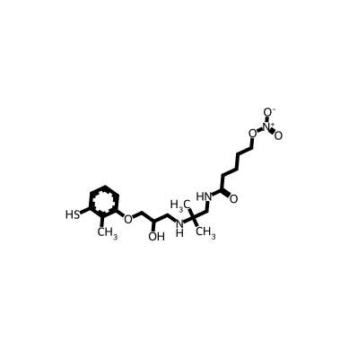 Cc1c(S)cccc1OCC(O)CNC(C)(C)CNC(=O)CCCCO[N+](=O)[O-]